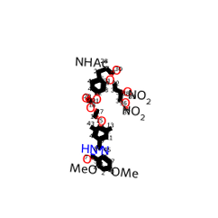 COc1cc(OC)c2c(=O)[nH]c(-c3cc(C)c(OCCOC(=O)Oc4ccc(CC(NC(C)=O)C(=O)OCCC(CO[N+](=O)[O-])O[N+](=O)[O-])cc4)c(C)c3)nc2c1